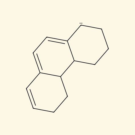 [C]1CCCC2C1=CC=C1C=CCCC12